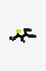 COC(OC)[SiH2]C(C)S